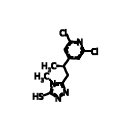 C[C@H](Cc1nnc(S)n1C)c1cc(Cl)nc(Cl)c1